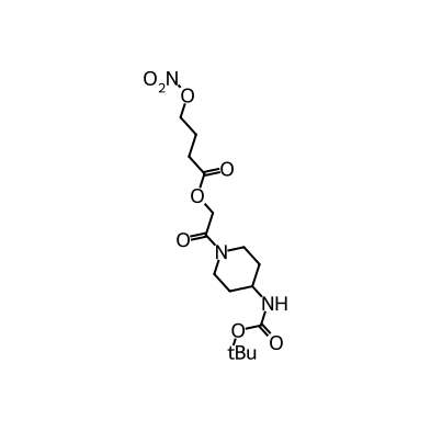 CC(C)(C)OC(=O)NC1CCN(C(=O)COC(=O)CCCO[N+](=O)[O-])CC1